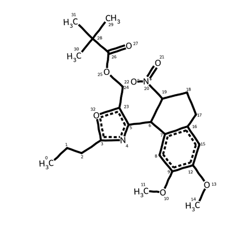 CCCc1nc(C2c3cc(OC)c(OC)cc3CCC2[N+](=O)[O-])c(COC(=O)C(C)(C)C)o1